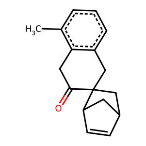 Cc1cccc2c1CC(=O)C1(C2)CC2C=CC1C2